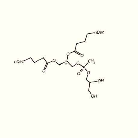 CCCCCCCCCCCCCC(=O)OC[C@H](COP(C)(=O)OCC(O)CO)OC(=O)CCCCCCCCCCCCC